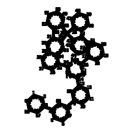 c1ccc(-c2cccc(-c3cccc(-c4nc(-c5ccccc5)nc(-c5cccc6cc7c(cc56)C(c5ccccc5)(c5ccccc5)c5ccccc5-7)n4)c3)c2)cc1